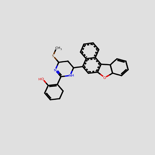 CSC1CC(c2cc3c(c4ccccc24)C2C=CC=CC2O3)NC(C2=C(O)C=CCC2)=N1